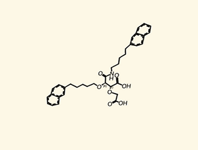 O=C(O)CO[C@@H](C(=O)O)[C@@H](OCCCCCc1ccc2ccccc2c1)C(=O)NCCCCCc1ccc2ccccc2c1